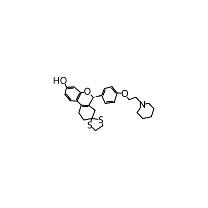 Oc1ccc2c(c1)O[C@@H](c1ccc(OCCN3CCCCC3)cc1)C1=C2CCC2(C1)SCCS2